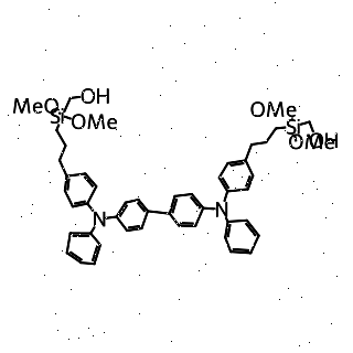 CO[Si](CO)(CCCc1ccc(N(c2ccccc2)c2ccc(-c3ccc(N(c4ccccc4)c4ccc(CCC[Si](CO)(OC)OC)cc4)cc3)cc2)cc1)OC